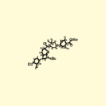 CCc1ccc(-c2cn(C(C)(C)C)c3nc(C(=O)N4CCN(c5cc(C)c(C(=O)OC)c(C)n5)CC4(C)C)ccc23)cc1F